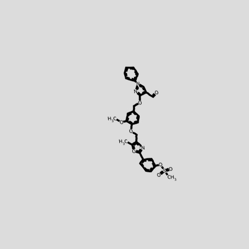 COc1cc(COc2nn(-c3ccccc3)cc2C=O)ccc1OCc1nc(-c2cccc(OS(C)(=O)=O)c2)oc1C